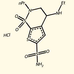 CCCN1CC(NCC)c2cc(S(N)(=O)=O)sc2S1(=O)=O.Cl